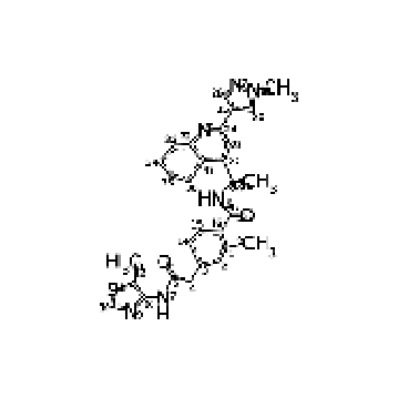 Cc1cc(CC(=O)Nc2ncsc2C)ccc1C(=O)N[C@H](C)c1cc(-c2cnn(C)c2)nc2ccccc12